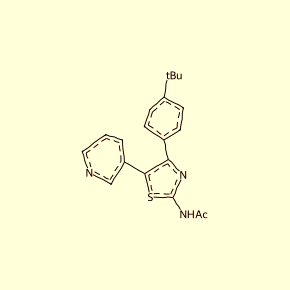 CC(=O)Nc1nc(-c2ccc(C(C)(C)C)cc2)c(-c2cccnc2)s1